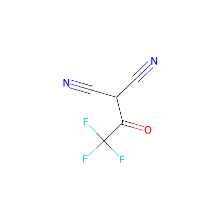 N#CC(C#N)C(=O)C(F)(F)F